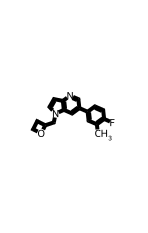 Cc1cc(-c2cnc3ccn(CC4CCO4)c3c2)ccc1F